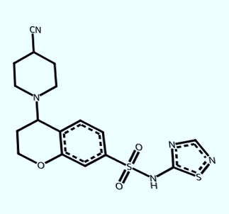 N#CC1CCN(C2CCOc3cc(S(=O)(=O)Nc4ncns4)ccc32)CC1